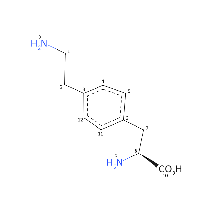 NCCc1ccc(C[C@H](N)C(=O)O)cc1